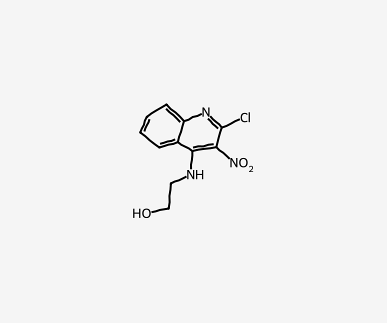 O=[N+]([O-])c1c(Cl)nc2ccccc2c1NCCO